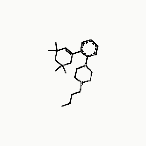 CCCCN1CCN(c2ccccc2C2=CC(C)(C)CC(C)(C)C2)CC1